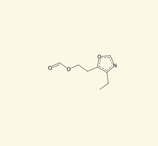 CCc1ncoc1CCOC=O